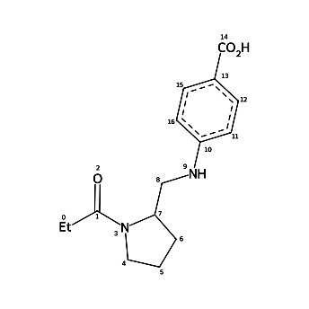 CCC(=O)N1CCCC1CNc1ccc(C(=O)O)cc1